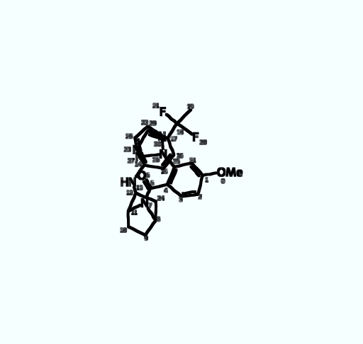 COc1ccc(C(=O)N2C3CCC2C(Nc2ccc(C(C)(F)F)cn2)C3)c(-n2nccn2)c1